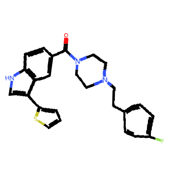 O=C(c1ccc2[nH]cc(-c3cccs3)c2c1)N1CCN(CCc2ccc(F)cc2)CC1